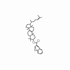 CC(C)=CCCC(C)C1CCC2(C)C3=C(CCC12C)C1(C)CCC(OC(=O)c2cnc4ccccc4c2)C(C)(C)C1CC3